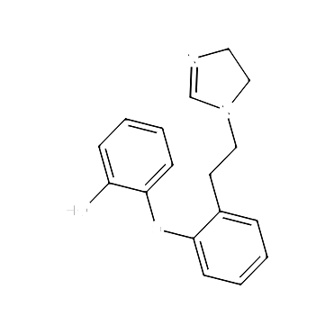 Oc1ccccc1Oc1ccccc1CCN1C=NCC1